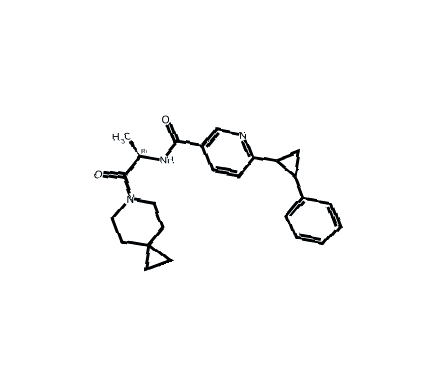 C[C@@H](NC(=O)c1ccc(C2CC2c2ccccc2)nc1)C(=O)N1CCC2(CC1)CC2